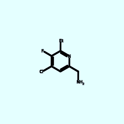 CCc1nc(CN)cc(Cl)c1F